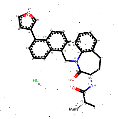 CN[C@@H](C)C(=O)N[C@H]1CCc2ccccc2N(Cc2c(OC)ccc3c(-c4ccoc4)cccc23)C1=O.Cl